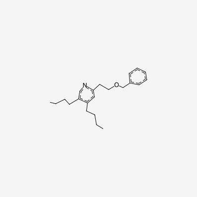 CCCCc1cnc(CCOCc2ccccc2)cc1CCCC